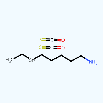 C[CH2][Sn][CH2]CCCCN.O=C=S.O=C=S